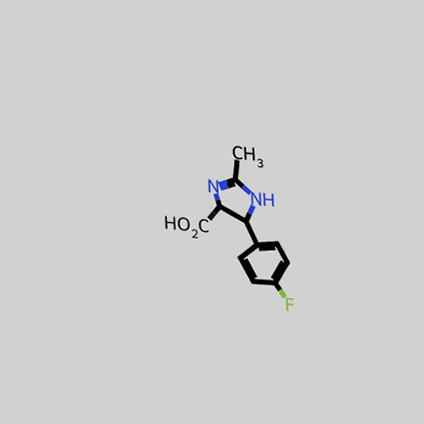 CC1=NC(C(=O)O)C(c2ccc(F)cc2)N1